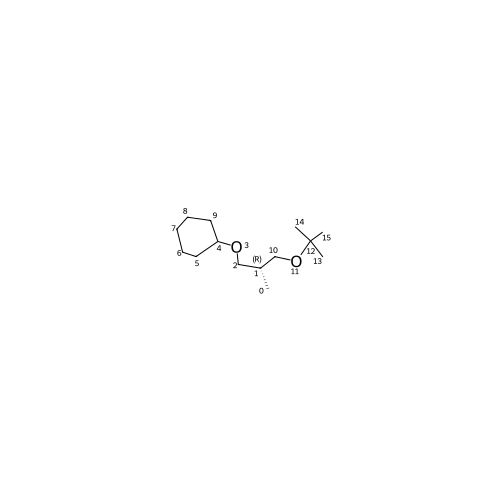 C[C@H](COC1CCCCC1)COC(C)(C)C